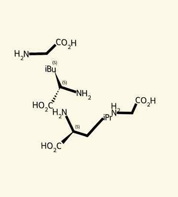 CC(C)C[C@H](N)C(=O)O.CC[C@H](C)[C@H](N)C(=O)O.NCC(=O)O.NCC(=O)O